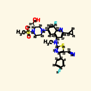 CN(c1nc(-c2ccc(F)cc2)c(C#N)s1)c1cc(C2CC2)nc2c(F)cc(N3CCN(S(C)(=O)=O)[C@H](CO)C3)cc12